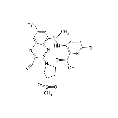 Cc1cc([C@@H](C)Nc2ccc(Cl)nc2C(=O)O)c2nc(N3CC[C@H](S(C)(=O)=O)C3)c(C#N)nc2c1